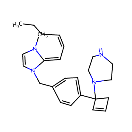 CCC/C=C\C=C1/N(C)C=CN1Cc1ccc(C2(N3CCNCC3)C=CC2)cc1